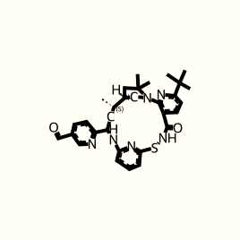 C[C@H]1CC(c2ccc(C=O)cn2)Nc2cccc(n2)SNC(=O)c2ccc(C(C)(C)C)nc2N2C[C@@H]1CC2(C)C